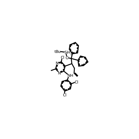 C=CCC(c1c(Cl)nc(C)nc1Nc1ccc(Cl)cc1Cl)C(O[SiH2]C(C)(C)C)(c1ccccc1)c1ccccc1